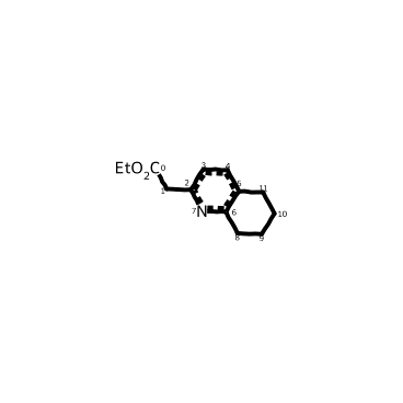 CCOC(=O)Cc1ccc2c(n1)CCCC2